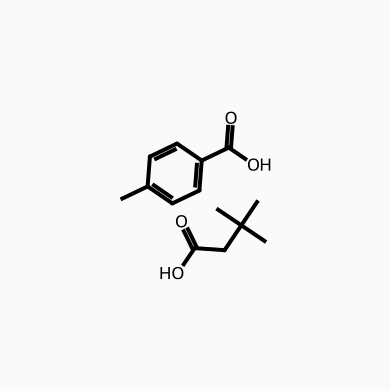 CC(C)(C)CC(=O)O.Cc1ccc(C(=O)O)cc1